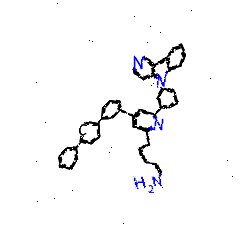 N/C=C\C=C/Cc1cc(-c2cccc(-c3ccc(-c4ccccc4)cc3)c2)cc(-c2cccc(-n3c4ccccc4c4cnccc43)c2)n1